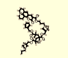 CCCn1cc(COC(=O)C(C)(Br)CC(C)(CC(C)(C)C(=O)OCc2ccccc2)C(=O)OCc2cn(CCCOC(=O)c3cc4cc5c6c(c4oc3=O)CCCN6CCC5)nn2)nn1